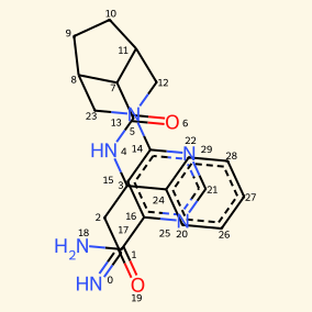 N=CCC(NC(=O)C1C2CCC1CN(c1cc(C(N)=O)ncn1)C2)c1ccccc1